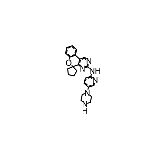 c1ccc2c(c1)OC1(CCCC1)c1nc(Nc3ccc(N4CCNCC4)cn3)ncc1-2